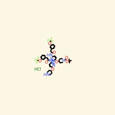 CC(C)(C)OC(=O)N1CCC(Oc2ccc(NC(=O)Cc3cccc(OC(F)(F)F)c3)nn2)CC1.Cl.O=C(Cc1cccc(OC(F)(F)F)c1)Nc1ccc(OC2CCNCC2)nn1